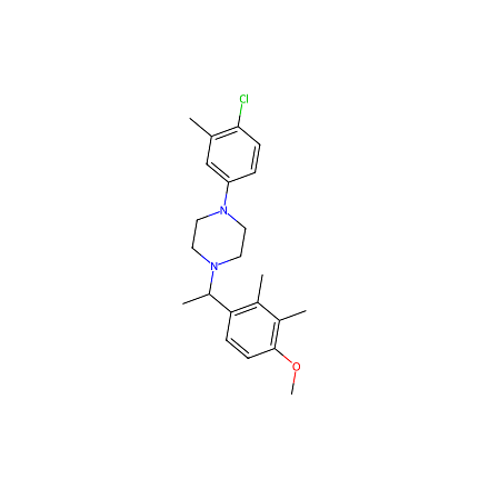 COc1ccc(C(C)N2CCN(c3ccc(Cl)c(C)c3)CC2)c(C)c1C